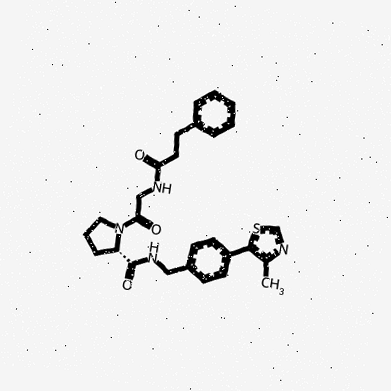 Cc1ncsc1-c1ccc(CNC(=O)[C@@H]2CCCN2C(=O)CNC(=O)CCc2ccccc2)cc1